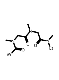 CCN(C)C(=O)CN(C)C(=O)CN(C)C(=O)C(C)C